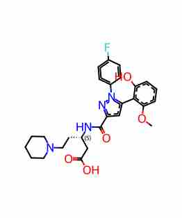 COc1cccc(O)c1-c1cc(C(=O)N[C@@H](CCN2CCCCC2)CC(=O)O)nn1C1=C=C=C(F)C=C1